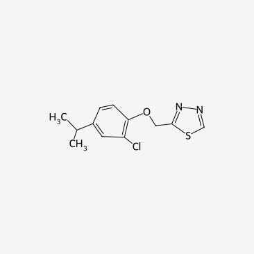 CC(C)c1ccc(OCc2nncs2)c(Cl)c1